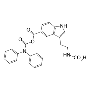 O=C(O)NCCc1c[nH]c2ccc(C(=O)OC(=O)N(c3ccccc3)c3ccccc3)cc12